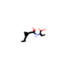 CC=C(NC(=O)C1CC1CC)C(=O)O